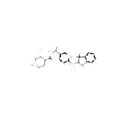 CN(C(=O)C1CCN(C(=O)O)CC1)C(c1ccc(NC2Cc3ccccc3C2(C)C)nc1)C(F)(F)F